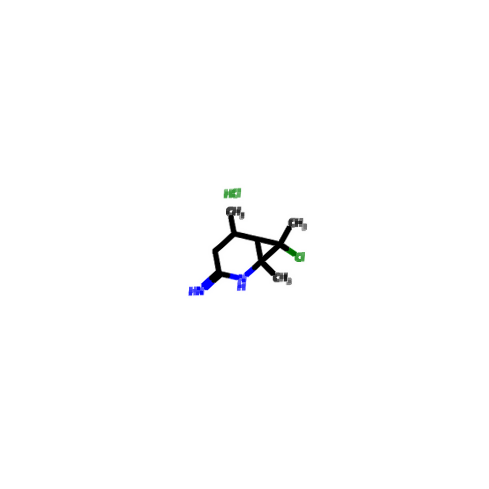 CC1CC(=N)NC2(C)C1C2(C)Cl.Cl